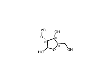 CCCCO[C@H]1C(O)O[C@H](CO)[C@H]1O